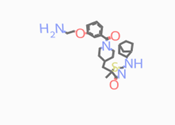 CC1(CC2CCN(C(=O)c3cccc(OCCN)c3)CC2)SC(N[C@H]2CC3CCC2C3)=NC1=O